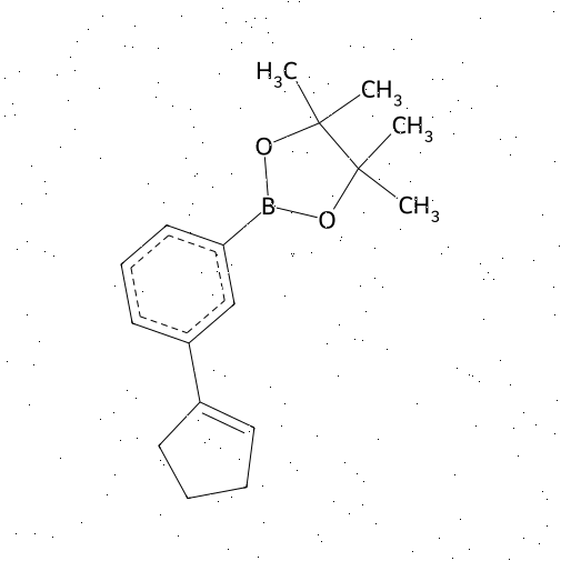 CC1(C)OB(c2cccc(C3=CCCC3)c2)OC1(C)C